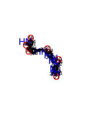 Cc1cc(-c2ncc3c(n2)OCCN3c2cnc3c(c2)n(C)c(=O)n3C)cnc1C(=O)NCC#Cc1ccc2occ(C3CCC(=O)NC3=O)c2c1